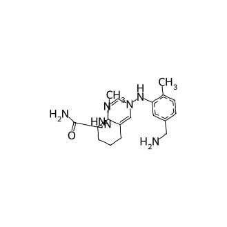 Cc1ccc(CN)cc1NN1C=NC23C(=C1)CCCC2=C(C(N)=O)NN3C